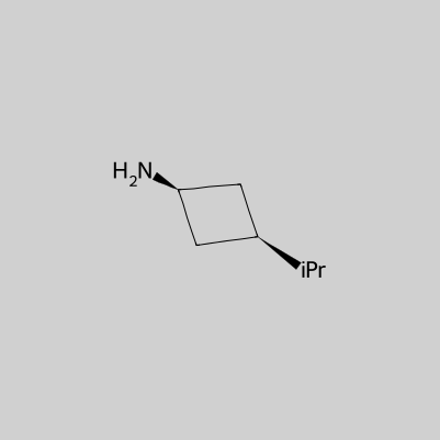 CC(C)[C@H]1C[C@@H](N)C1